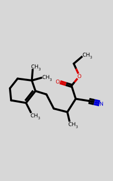 CCOC(=O)C(C#N)C(C)CCC1=C(C)CCCC1(C)C